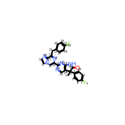 CC1(c2ccc(F)cc2)C(=O)Nc2nc(-c3cn4ccnc4c(Cc4ccc(F)cc4)n3)ncc21